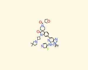 CC(C)n1cnc2cc(-c3ccc4c(c3)N([C@H]3C[C@@H](N5CCC(C)(C)C5)C3)C(=O)C43CCN(C(=O)[C@@H]4CCOC4)CC3)nc(Nc3ccncc3F)c21